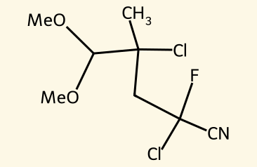 COC(OC)C(C)(Cl)CC(F)(Cl)C#N